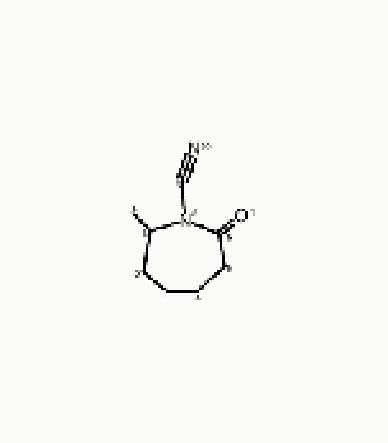 CC1CCCCC(=O)N1C#N